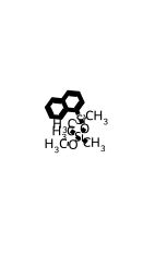 CO[Si](C)(C)O[Si](C)(C)c1cccc2ccccc12